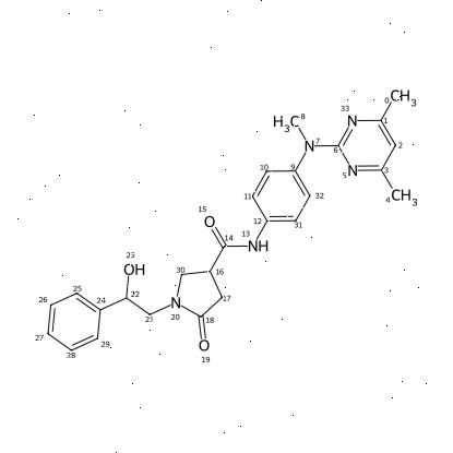 Cc1cc(C)nc(N(C)c2ccc(NC(=O)C3CC(=O)N(CC(O)c4ccccc4)C3)cc2)n1